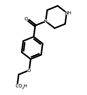 O=C(O)COc1ccc(C(=O)N2CCNCC2)cc1